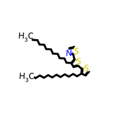 CCCCCCCCCCCCc1ccsc1-c1cc(CCCCCCCCCCCC)c(-c2nccs2)s1